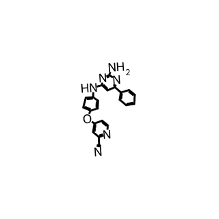 N#Cc1cc(Oc2ccc(Nc3cc(-c4ccccc4)nc(N)n3)cc2)ccn1